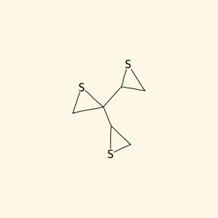 C1SC1C1(C2CS2)CS1